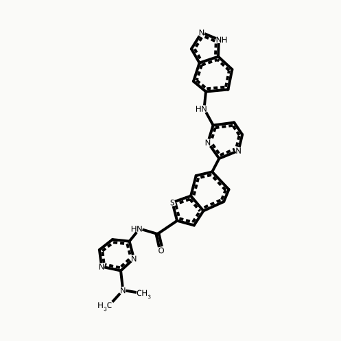 CN(C)c1nccc(NC(=O)c2cc3ccc(-c4nccc(Nc5ccc6[nH]ncc6c5)n4)cc3s2)n1